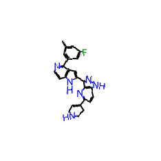 Cc1cc(F)cc(-c2nccc3[nH]c(-c4n[nH]c5ccc(C6=CCNCC6)nc45)cc23)c1